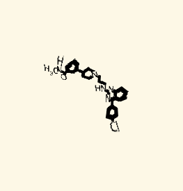 CNC(=O)c1cccc(C2CCN(CCCNc3nc(-c4ccc(Cl)cc4)c4ccccc4n3)CC2)c1